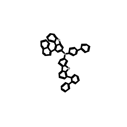 c1ccc(-c2ccc(N(c3ccc4c(c3)oc3c(-c5ccccc5-c5ccccc5)cccc34)c3cc(-c4cccc5ccccc45)c4c(c3)oc3ccccc34)cc2)cc1